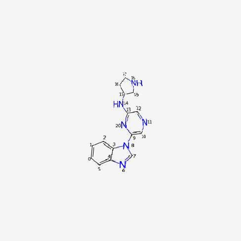 c1ccc2c(c1)ncn2-c1cncc(NC2CCNC2)n1